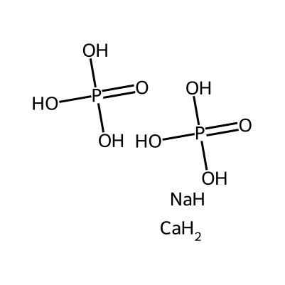 O=P(O)(O)O.O=P(O)(O)O.[CaH2].[NaH]